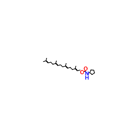 CC(C)=CCC/C(C)=C/CC/C(C)=C/CC/C(C)=C/COC(=O)NC1CCCC1